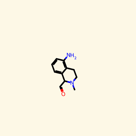 CN1CCc2c(N)cccc2C1C=O